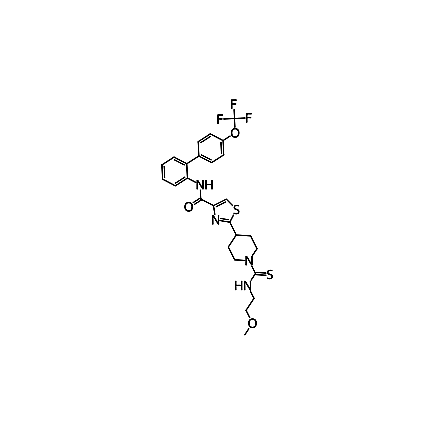 COCCNC(=S)N1CCC(c2nc(C(=O)Nc3ccccc3-c3ccc(OC(F)(F)F)cc3)cs2)CC1